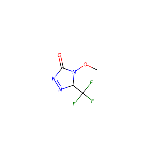 CON1C(=O)N=NC1C(F)(F)F